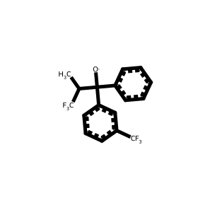 CC(C(F)(F)F)C([O])(c1ccccc1)c1cccc(C(F)(F)F)c1